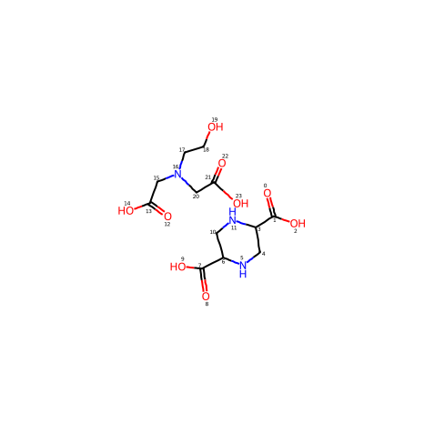 O=C(O)C1CNC(C(=O)O)CN1.O=C(O)CN(CCO)CC(=O)O